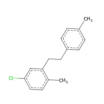 Cc1ccc(CCc2cc(Cl)ccc2C)cc1